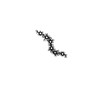 C=Cc1ccc(COc2c(C)cc(Oc3c(C)cc(C(C)(C)c4cc(C)c(Oc5cc(C)c(OCc6ccc(CC)cc6)c(C)c5)c(C)c4)cc3C)cc2C)cc1